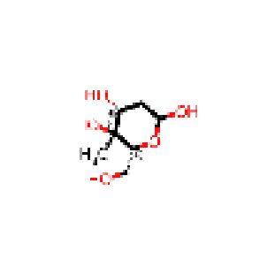 C[C@@]1(O)[C@H](O)CC(O)O[C@@H]1CO